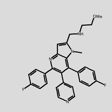 COCCNCc1cc2nc(-c3ccc(F)cc3)c(-c3ccncc3)c(-c3ccc(F)cc3)c2n1C